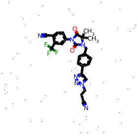 CC1(C)C(=O)N(c2ccc(C#N)c(C(F)(F)F)c2)C(=O)N1Cc1ccc(-c2cn(CCC#N)nn2)cc1